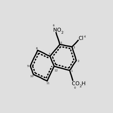 O=C(O)c1cc(Cl)c([N+](=O)[O-])c2ccccc12